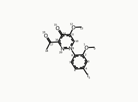 COc1cc(I)ccc1-n1cc(OC)c(=O)c(C(C)=O)n1